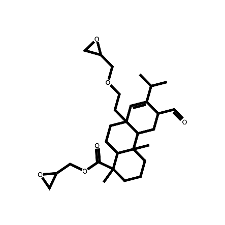 CC(C)C1=CC2(CCOCC3CO3)CCC3C(C)(C(=O)OCC4CO4)CCCC3(C)C2CC1C=O